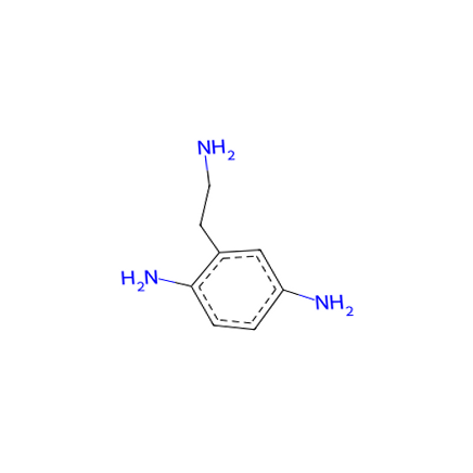 NCCc1cc(N)ccc1N